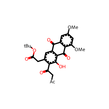 COc1cc(OC)c2c(c1)C(=O)c1cc(CC(=O)OC(C)(C)C)c(C(=O)CC(C)=O)c(O)c1C2=O